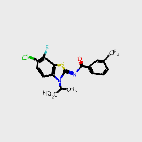 CC(C(=O)O)n1/c(=N/C(=O)c2cccc(C(F)(F)F)c2)sc2c(F)c(Cl)ccc21